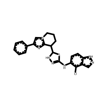 Clc1c(NC2=NNC(C3CCCn4cc(-c5ccccc5)nc43)S2)ccc2[nH]ncc12